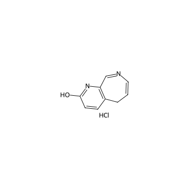 Cl.Oc1ccc2c(n1)C=NC=CC2